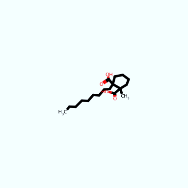 CCCCCCCCCC1(C(=O)O)CCCCC1(C)C(=O)O